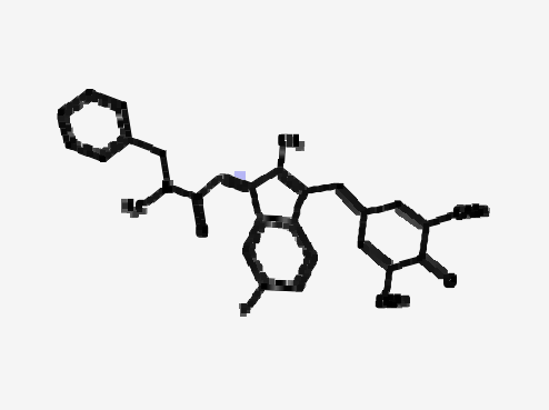 COC1=CC(=CC2=C(C)/C(=C/C(=O)N(C)Cc3ccccc3)c3cc(F)ccc32)C=C(OC)C1=O